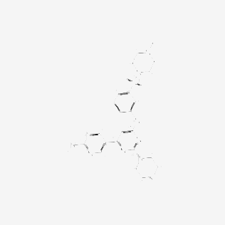 CN1CCN(S(=O)(=O)c2cccc(Nc3cc(-c4cnc(N)nc4)nc(N4CCOCC4)n3)c2)CC1